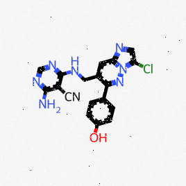 N#Cc1c(N)ncnc1NCc1cc2ncc(Cl)n2nc1-c1ccc(O)cc1